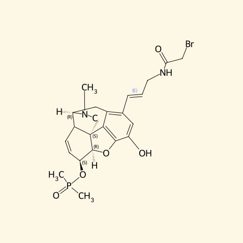 CN1CC[C@]23c4c5c(/C=C/CNC(=O)CBr)cc(O)c4O[C@H]2[C@@H](OP(C)(C)=O)C=CC3[C@H]1C5